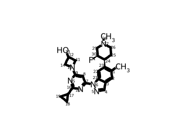 Cc1cc2cnn(-c3cc(N4CC(O)C4)nc(C4CC4)n3)c2cc1[C@@H]1CCN(C)C[C@@H]1F